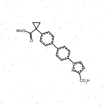 COC(=O)C1(c2ccc(-c3ccc(-n4ccc(C(=O)O)n4)cc3)cc2)CC1